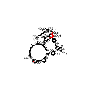 CO[C@H]1C[C@@H]2CC[C@@H](C)[C@@](O)(O2)C(=O)C(=O)N2CCCC[C@H]2C(=O)O[C@H]([C@H](C)C[C@@H]2CC[C@@H](O)[C@H](OC)C2)CC(=O)[C@H](C)/C=C(\C)[C@@H](OC(=O)OCCSSC[C@H](NC(=O)[C@H](CC(=O)O)NC(=O)[C@H](CC(=O)O)NC(=O)[C@H](CCCNC(=N)N)NC(=O)[C@H](CC(=O)O)NC(=O)CC[C@H](NC(=O)c2ccc(NCc3cnc4nc(N)[nH]c(=O)c4n3)cc2)C(=O)O)C(=O)O)[C@@H](OC)C(=O)[C@H](C)C[C@H](C)/C=C/C=C/C=C/1C